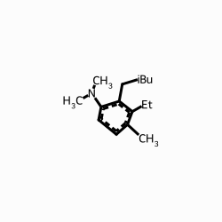 CCc1c(C)ccc(N(C)C)c1CC(C)CC